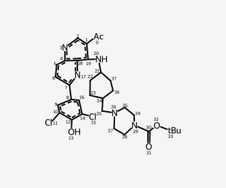 CC(=O)c1cnc2ccc(-c3cc(Cl)c(O)c(Cl)c3)nc2c1NC1CCC(CN2CCN(C(=O)OC(C)(C)C)CC2)CC1